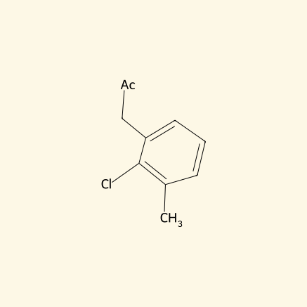 CC(=O)Cc1cccc(C)c1Cl